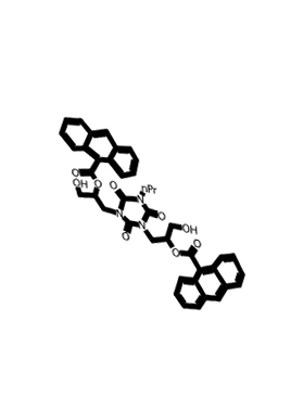 CCCn1c(=O)n(CC(CO)OC(=O)c2c3ccccc3cc3ccccc23)c(=O)n(CC(CO)OC(=O)c2c3ccccc3cc3ccccc23)c1=O